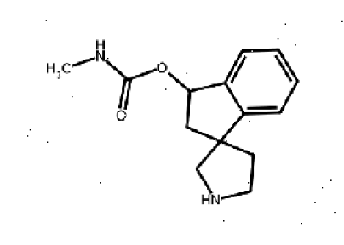 CNC(=O)OC1CC2(CCNC2)c2ccccc21